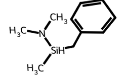 CN(C)[SiH](C)Cc1ccccc1